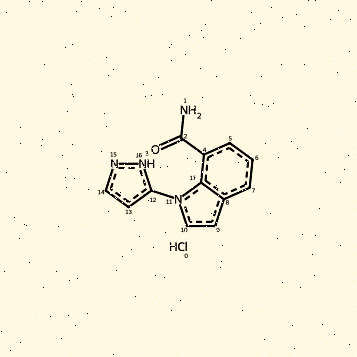 Cl.NC(=O)c1cccc2ccn(-c3ccn[nH]3)c12